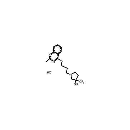 Cc1nc(OCCCN2CCC(O)(C(F)(F)F)C2)c2ccccc2n1.Cl